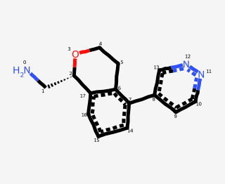 NC[C@@H]1OCCc2c(-c3ccnnc3)cccc21